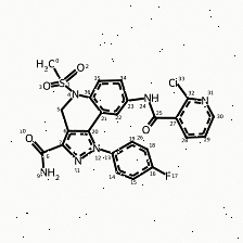 CS(=O)(=O)N1Cc2c(C(N)=O)nn(-c3ccc(F)cc3)c2-c2cc(NC(=O)c3cccnc3Cl)ccc21